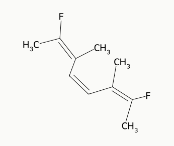 C\C(F)=C(C)/C=C\C(C)=C(/C)F